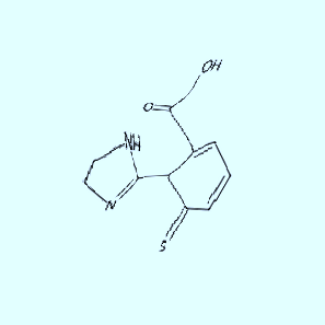 O=C(O)C1=CC=CC(=S)C1C1=NCCN1